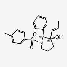 CC=C[C@]1(O)CCCN(S(=O)(=O)c2ccc(C)cc2)[C@H]1c1ccccc1